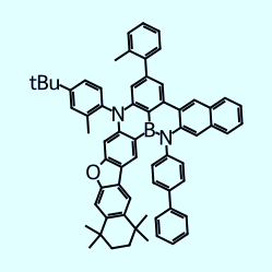 Cc1ccccc1-c1cc2c3c(c1)N(c1ccc(C(C)(C)C)cc1C)c1cc4oc5cc6c(cc5c4cc1B3N(c1ccc(-c3ccccc3)cc1)c1cc3ccccc3cc1-2)C(C)(C)CCC6(C)C